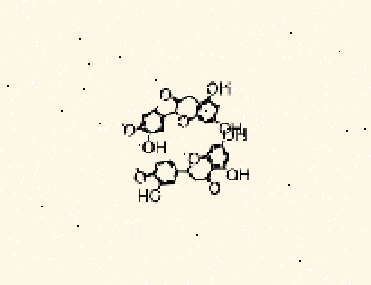 COc1ccc(C2CC(=O)c3c(O)cc(O)cc3O2)cc1O.COc1ccc(C2Oc3cc(O)cc(O)c3CC2=O)cc1O